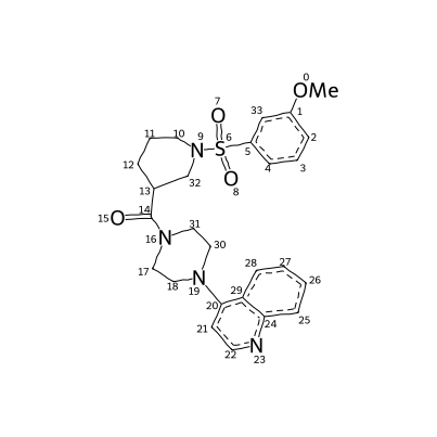 COc1cccc(S(=O)(=O)N2CCCC(C(=O)N3CCN(c4ccnc5ccccc45)CC3)C2)c1